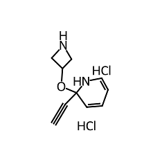 C#CC1(OC2CNC2)C=CC=CN1.Cl.Cl